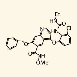 CCNC(=O)Nc1c(Cl)cccc1Oc1ccnc2cc(OCc3ccccc3)c(C(=O)NOC)cc12